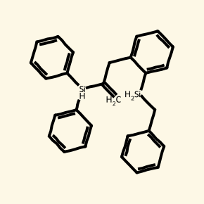 C=C(Cc1ccccc1[SiH2]Cc1ccccc1)[SiH](c1ccccc1)c1ccccc1